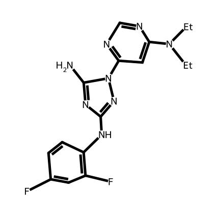 CCN(CC)c1cc(-n2nc(Nc3ccc(F)cc3F)nc2N)ncn1